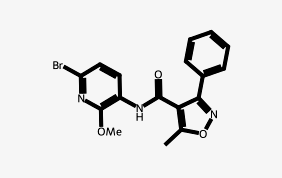 COc1nc(Br)ccc1NC(=O)c1c(-c2ccccc2)noc1C